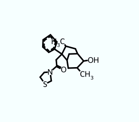 CC1CC2CC(CC(C)C2(CC(=O)N2CCSC2)c2ccccc2)C1O